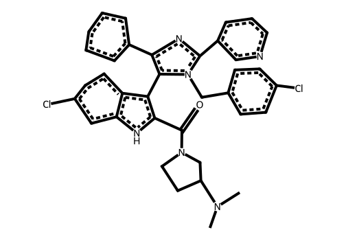 CN(C)C1CCN(C(=O)c2[nH]c3cc(Cl)ccc3c2-c2c(-c3ccccc3)nc(-c3cccnc3)n2Cc2ccc(Cl)cc2)C1